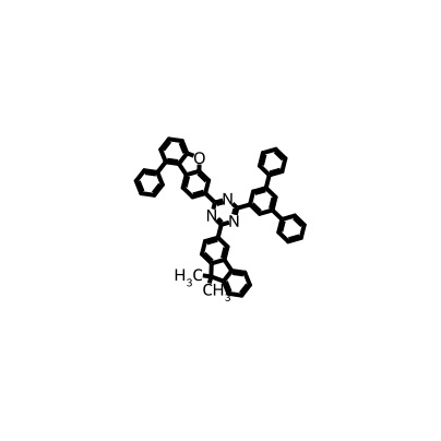 CC1(C)c2ccccc2-c2cc(-c3nc(-c4cc(-c5ccccc5)cc(-c5ccccc5)c4)nc(-c4ccc5c(c4)oc4cccc(-c6ccccc6)c45)n3)ccc21